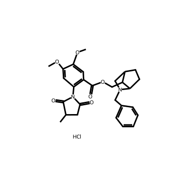 COc1cc(C(=O)OCC2C3CCC2N(Cc2ccccc2)C3)c(N2C(=O)CC(C)C2=O)cc1OC.Cl